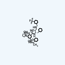 C[C@@H](NS(=O)(=O)c1cc(C(=O)N[C@@H](Cc2ccccc2)[C@H](O)CNCc2cccc(C(F)(F)F)c2)cc(N2CCCS2(O)O)c1)c1ccccc1